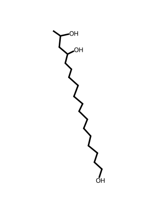 CC(O)CC(O)CCCCCCCCCCCCCCO